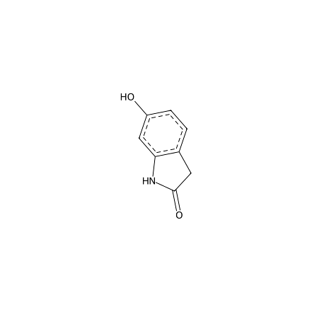 O=C1Cc2ccc(O)cc2N1